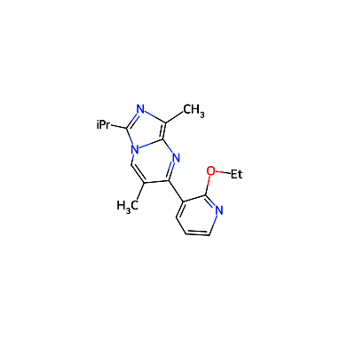 CCOc1ncccc1-c1nc2c(C)nc(C(C)C)n2cc1C